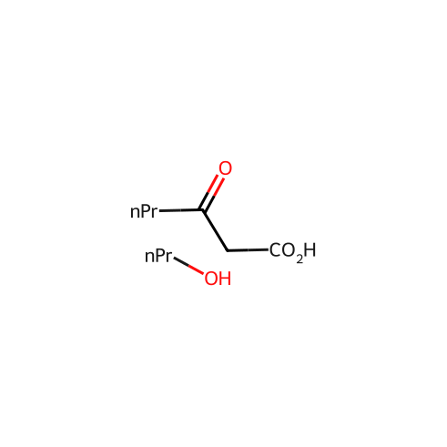 CCCC(=O)CC(=O)O.CCCO